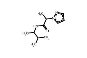 CC(C)C(C)NC(=O)C(C)n1cccn1